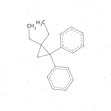 CCC1(CC)CC1(c1ccccc1)c1ccccc1